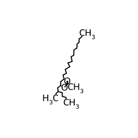 CCCCCCCCCCCCCCCCCC(CC(CC)CCCC)OC(C)=O